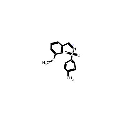 COc1cccc(/C=N\S(=O)(=O)c2ccc(C)cc2)c1